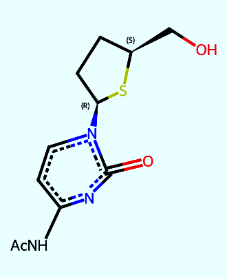 CC(=O)Nc1ccn([C@H]2CC[C@@H](CO)S2)c(=O)n1